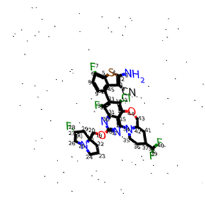 N#Cc1c(N)sc2c(F)ccc(-c3c(Cl)c4c5c(nc(OCC67CCCN6C[C@H](F)C7)nc5c3F)N3CCC(C(F)F)CC3CO4)c12